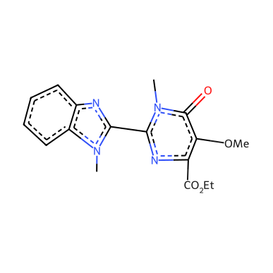 CCOC(=O)c1nc(-c2nc3ccccc3n2C)n(C)c(=O)c1OC